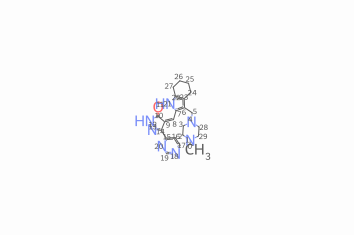 CN1CCN(Cc2c(C=C3C(=O)NN=C3c3ccncn3)[nH]c3c2CCCC3)CC1